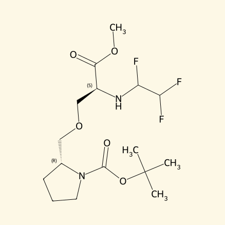 COC(=O)[C@H](COC[C@H]1CCCN1C(=O)OC(C)(C)C)NC(F)C(F)F